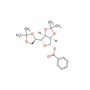 CC1(C)O[C@H]2[C@@H](O1)[C@H](OC(=O)c1ccccc1)O[C@@H]2[C@H]1COC(C)(C)O1